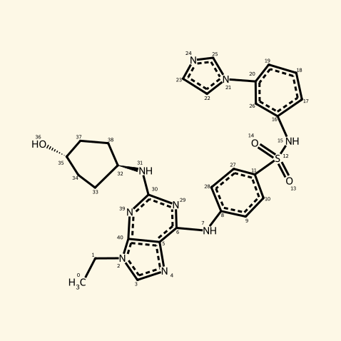 CCn1cnc2c(Nc3ccc(S(=O)(=O)Nc4cccc(-n5ccnc5)c4)cc3)nc(N[C@H]3CC[C@H](O)CC3)nc21